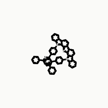 c1ccc(-c2ccc(-n3c4ccccc4c4ccc5c6ccc7c8ccccc8n(-c8ccc(-c9nc(-c%10ccccc%10)nc(-c%10ccccc%10)n9)cc8)c7c6sc5c43)cc2)cc1